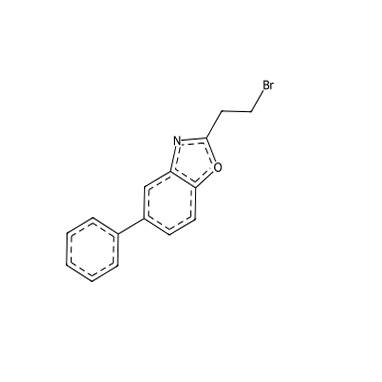 BrCCc1nc2cc(-c3ccccc3)ccc2o1